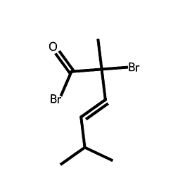 CC(C)C=CC(C)(Br)C(=O)Br